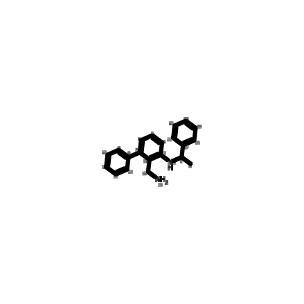 CC(Nc1cccc(-c2ccccc2)c1CN)c1ccccc1